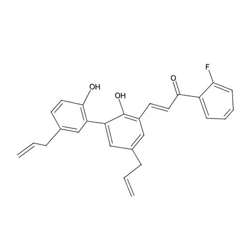 C=CCc1ccc(O)c(-c2cc(CC=C)cc(C=CC(=O)c3ccccc3F)c2O)c1